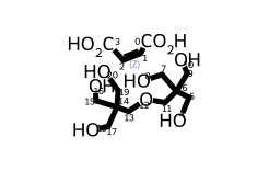 O=C(O)/C=C\C(=O)O.OCC(CO)(CO)COCC(CO)(CO)CO